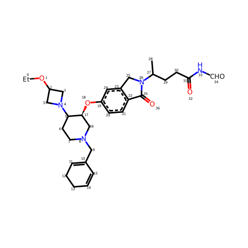 CCOC1CN(C2CCN(CC3=CCCC=C3)C[C@@H]2Oc2ccc3c(c2)CN(C(C)CCC(=O)NC=O)C3=O)C1